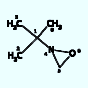 CC(C)(C)N1CO1